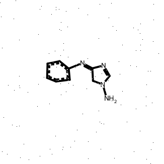 NN1C=NC(=Nc2ccccc2)C1